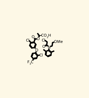 COCCN(C(=O)CCl)c1c(C)cccc1C.C[C@H](OC(=O)c1cc(Oc2ccc(C(F)(F)F)cc2Cl)ccc1Cl)C(=O)O